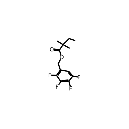 CCC(C)(C)C(=O)OCc1cc(F)c(F)c(F)c1F